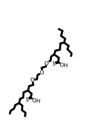 CCCCC(CCCC)CCCC(CCOCCOCCOCCC(CCCC(CCCC)CCCC)CC(O)=S)CC(O)=S